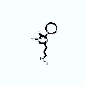 O=c1c(N2CCCCCCC2)nc(CCCNO)cn1O